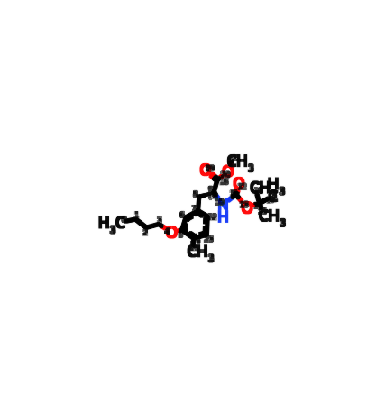 CCCCOc1cc(C[C@H](NC(=O)OC(C)(C)C)C(=O)OC)ccc1C